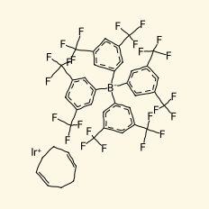 C1=C\CC/C=C\CC/1.FC(F)(F)c1cc([B-](c2cc(C(F)(F)F)cc(C(F)(F)F)c2)(c2cc(C(F)(F)F)cc(C(F)(F)F)c2)c2cc(C(F)(F)F)cc(C(F)(F)F)c2)cc(C(F)(F)F)c1.[Ir+]